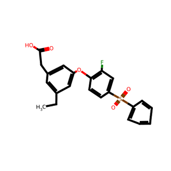 CCc1cc(CC(=O)O)cc(Oc2ccc(S(=O)(=O)c3ccccc3)cc2F)c1